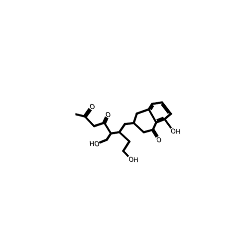 CC(=O)CC(=O)C(CO)C(CCO)CC1CC(=O)c2c(O)cccc2C1